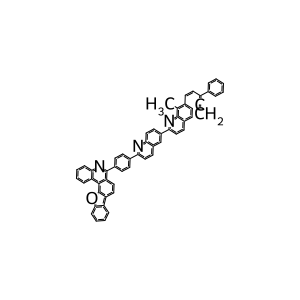 C=C=C(/C=C\c1ccc2ccc(-c3ccc4nc(-c5ccc(-c6nc7ccccc7c7c6ccc6c8ccccc8oc67)cc5)ccc4c3)nc2c1C)c1ccccc1